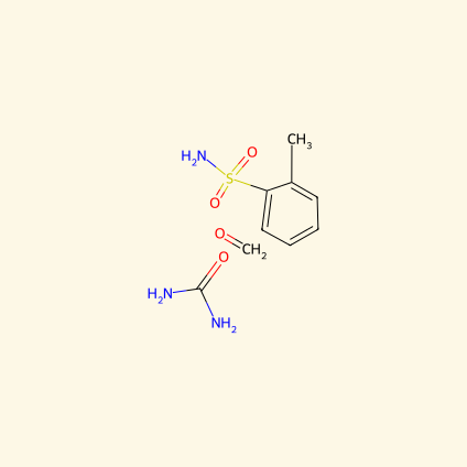 C=O.Cc1ccccc1S(N)(=O)=O.NC(N)=O